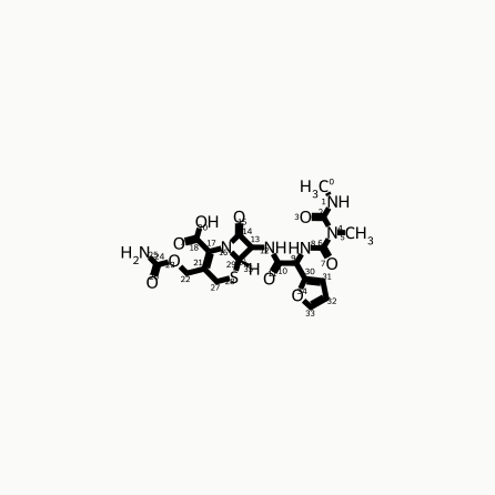 CNC(=O)N(C)C(=O)NC(C(=O)NC1C(=O)N2C(C(=O)O)=C(COC(N)=O)CS[C@@H]12)c1ccco1